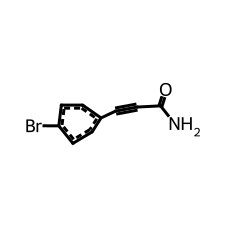 NC(=O)C#Cc1ccc(Br)cc1